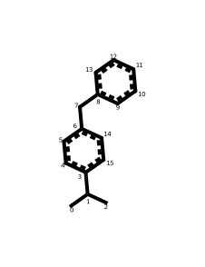 CC(C)c1ccc(Cc2ccccc2)cc1